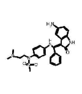 CN(C)CCN(c1ccc(NC(=C2C(=O)Nc3ccc(N)cc32)c2ccccc2)cc1)S(C)(=O)=O